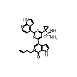 C=CCCn1cc(-c2cc(C3(S(=N)(N)=O)CC3)nc(-c3ccnc4[nH]ccc34)n2)c2cc[nH]c2c1=O